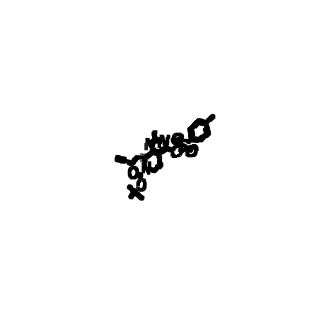 C#CCC[C@H]1c2nc(C)nc(OS(=O)(=O)c3ccc(C)cc3)c2CCN1C(=O)OC(C)(C)C